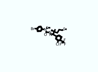 CSCCCC1(C)CN(C(=O)N(SC)c2ccc(Br)cc2)N=C1c1ccc(C(F)(F)F)c(Cl)c1